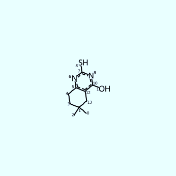 CC1(C)CCc2nc(S)nc(O)c2C1